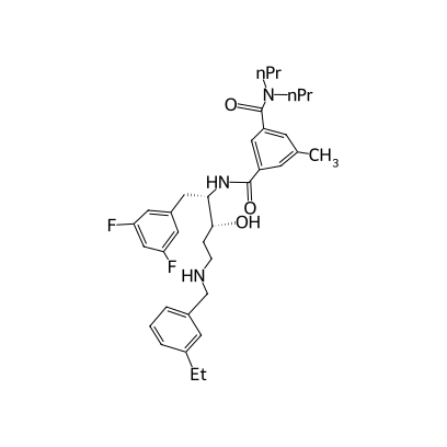 CCCN(CCC)C(=O)c1cc(C)cc(C(=O)N[C@@H](Cc2cc(F)cc(F)c2)[C@H](O)CCNCc2cccc(CC)c2)c1